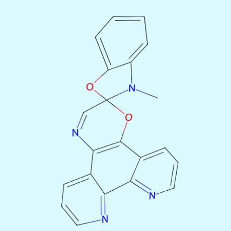 CN1c2ccccc2OC12C=Nc1c(c3cccnc3c3ncccc13)O2